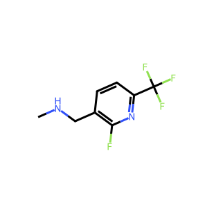 CNCc1ccc(C(F)(F)F)nc1F